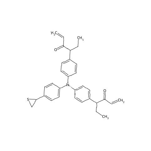 C=CC(=O)C(CC)c1ccc(N(c2ccc(C3CS3)cc2)c2ccc(C(CC)C(=O)C=C)cc2)cc1